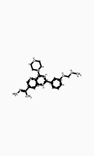 C/N=C(\C)c1cnc2c(N3CCOCC3)nc(-c3cccc(OCOC)c3)nc2c1